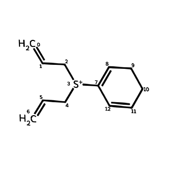 C=CC[S+](CC=C)C1=CCCC=C1